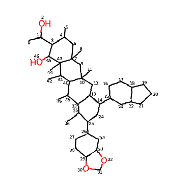 CC(O)C1C(C)CC2(C)CC3(C)CC4C(C5CCC6CCCC6C5)CC(C5CCC6OCOC6C5)C(C)C4C(C)C3C(C)C2(C)C1O